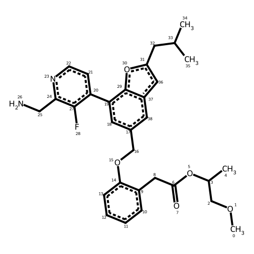 COCC(C)OC(=O)Cc1ccccc1OCc1cc(-c2ccnc(CN)c2F)c2oc(CC(C)C)cc2c1